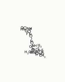 COc1cc(C(=O)NC2CCN(CCC3CCN(c4cc(F)c(NC5CCC(=O)NC5=O)cc4F)CC3)CC2)ccc1Nc1ncc2c(n1)N(C(C)C)CC(F)(F)C(=O)N2C